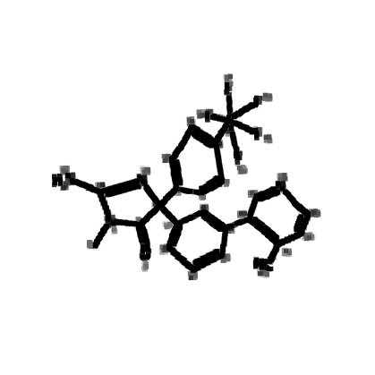 CN1C(=O)C(c2ccc(S(F)(F)(F)(F)F)cc2)(c2cccc(-c3cnccc3C#N)c2)N=C1N